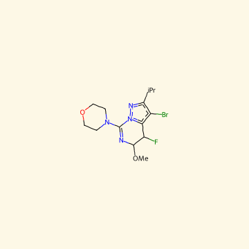 COC1N=C(N2CCOCC2)n2nc(C(C)C)c(Br)c2C1F